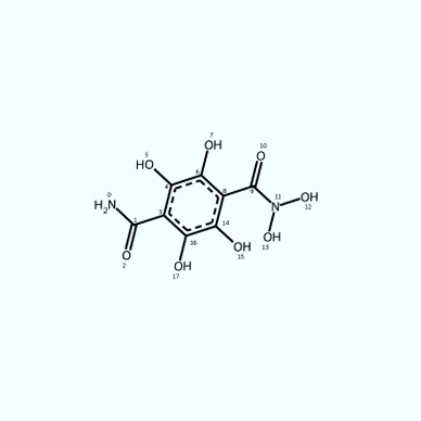 NC(=O)c1c(O)c(O)c(C(=O)N(O)O)c(O)c1O